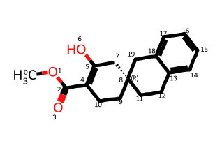 COC(=O)C1=C(O)C[C@@]2(CC1)CCc1ccccc1C2